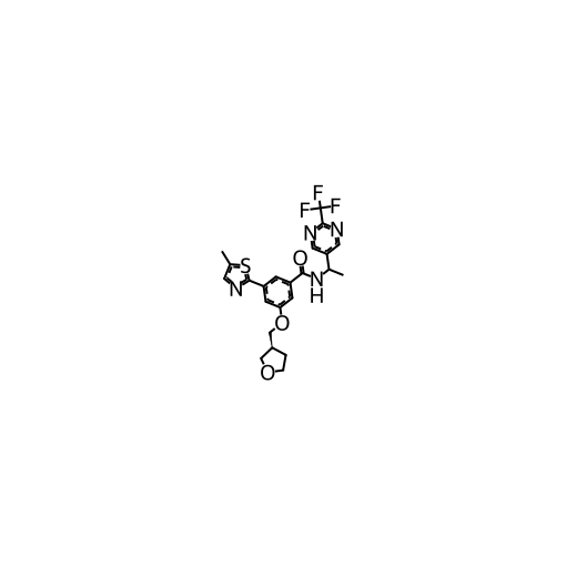 Cc1cnc(-c2cc(OC[C@H]3CCOC3)cc(C(=O)NC(C)c3cnc(C(F)(F)F)nc3)c2)s1